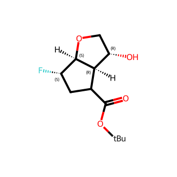 CC(C)(C)OC(=O)C1C[C@H](F)[C@H]2OC[C@H](O)[C@@H]12